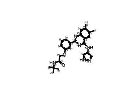 Cc1cc2c(Nc3cn[nH]c3)nc(-c3cccc(OCC(=O)NC(C)(C)C)c3)nc2cc1Cl